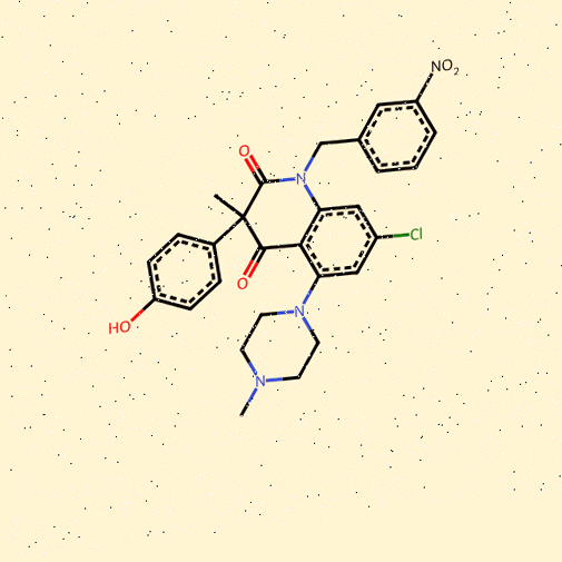 CN1CCN(c2cc(Cl)cc3c2C(=O)C(C)(c2ccc(O)cc2)C(=O)N3Cc2cccc([N+](=O)[O-])c2)CC1